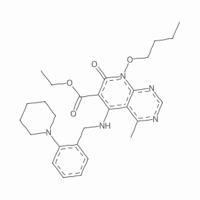 CCCCOn1c(=O)c(C(=O)OCC)c(NCc2ccccc2N2CCCCC2)c2c(C)ncnc21